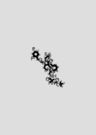 CC(C)(C)OC(=O)NC(C)(C)C(=O)NCC(=O)N1CCC2N(COCc3ccc(F)cc3F)N(CC(F)(F)F)C(=O)[C@]2(Cc2ccccn2)C1